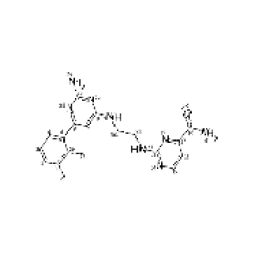 Cc1cccc(-c2cc(NCCNc3nccc(C(N)=O)n3)nc(N)n2)c1C